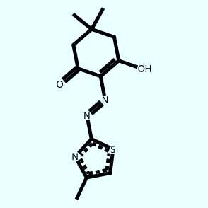 Cc1csc(N=NC2=C(O)CC(C)(C)CC2=O)n1